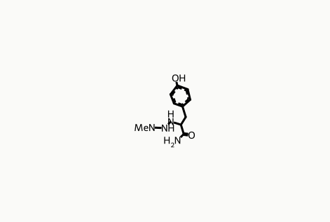 CNNNC(Cc1ccc(O)cc1)C(N)=O